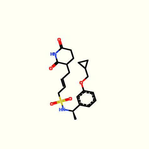 C[C@@H](NS(=O)(=O)C/C=C/CC1CCC(=O)NC1=O)c1cccc(OCC2CC2)c1